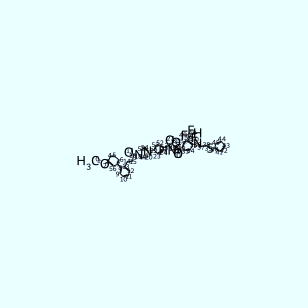 CCOc1cccc(-c2ccccc2CCC(=O)N2CCN(c3ccc(C(=O)NS(=O)(=O)c4ccc(NCCSc5ccccc5)c(C(F)(F)F)c4)cc3)CC2)c1